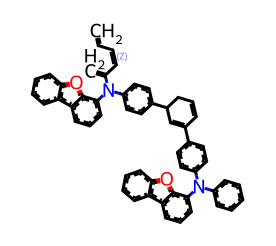 C=C/C=C\C(=C)N(c1ccc(C2C=C(c3ccc(N(c4ccccc4)c4cccc5c4oc4ccccc45)cc3)C=CC2)cc1)c1cccc2c1oc1ccccc12